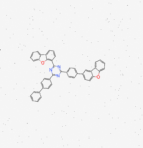 c1ccc(-c2ccc(-c3nc(-c4ccc(-c5ccc6oc7ccccc7c6c5)cc4)nc(-c4cccc5c4oc4ccccc45)n3)cc2)cc1